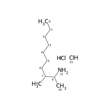 CCCCCCCC(C)C(C)N.Cl.Cl